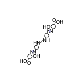 O=C(O)c1ccc(/N=N/c2ccc(NCCNc3ccc(/N=N/c4ccc(C(=O)O)cc4O)cc3)cc2)c(O)c1